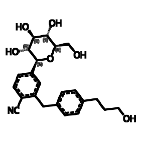 N#Cc1ccc([C@@H]2O[C@H](CO)[C@@H](O)[C@H](O)[C@H]2O)cc1Cc1ccc(CCCO)cc1